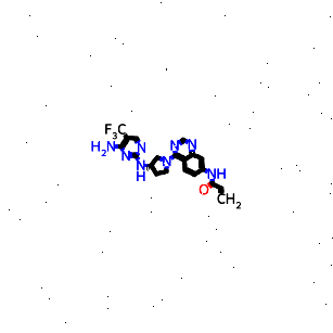 C=CC(=O)Nc1ccc2c(N3CC[C@@H](Nc4ncc(C(F)(F)F)c(N)n4)C3)ncnc2c1